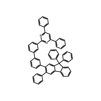 c1ccc(-c2cc(-c3ccccc3)nc(-c3cccc(-c4cccc(-c5cc6c(cc5-c5ccccc5)-c5ccccc5C6(c5ccccc5)c5ccccc5)c4)c3)n2)cc1